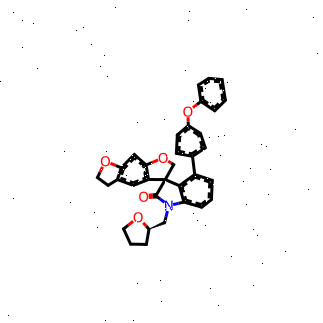 O=C1N(C[C@H]2CCCO2)c2cccc(-c3ccc(Oc4ccccc4)cc3)c2C12COc1cc3c(cc12)CCO3